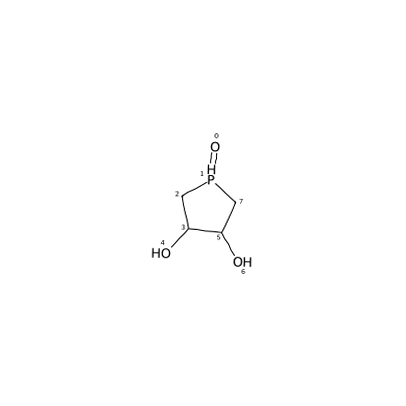 O=[PH]1CC(O)C(O)C1